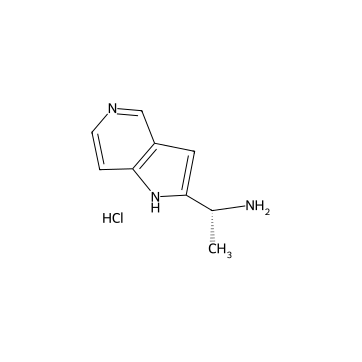 C[C@@H](N)c1cc2cnccc2[nH]1.Cl